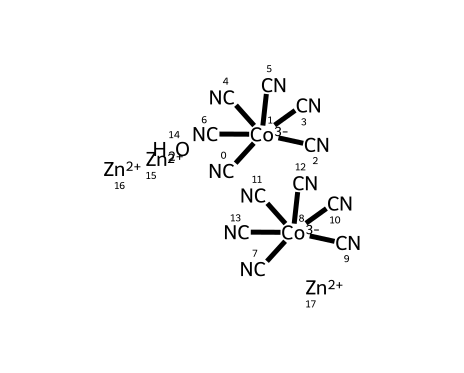 N#[C][Co-3]([C]#N)([C]#N)([C]#N)([C]#N)[C]#N.N#[C][Co-3]([C]#N)([C]#N)([C]#N)([C]#N)[C]#N.O.[Zn+2].[Zn+2].[Zn+2]